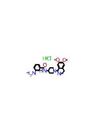 COc1cc2c(cc1OC)C(N1CCC(NC(=O)c3cccc(N)c3)CC1)=NCC2.Cl